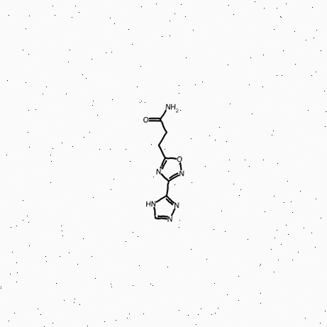 NC(=O)CCc1nc(-c2nnc[nH]2)no1